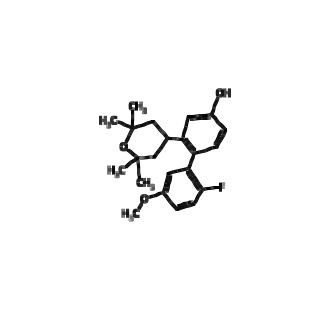 COc1ccc(F)c(-c2ccc(O)cc2C2CC(C)(C)OC(C)(C)C2)c1